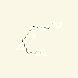 CCCCC/C=C\CCCC/C=C\CCC(O)CC/C=C\CC(O)C/C=C\CCC=O